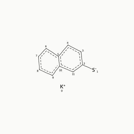 [K+].[S-]c1ccc2ccccc2c1